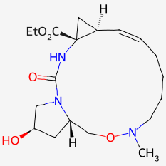 CCOC(=O)[C@@]12C[C@H]1/C=C\CCCCN(C)OC[C@@H]1C[C@@H](O)CN1C(=O)N2